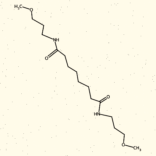 COCCCNC(=O)CCCCCCC(=O)NCCCOC